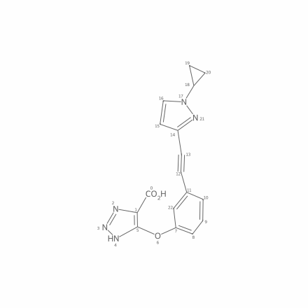 O=C(O)c1nn[nH]c1Oc1cccc(C#Cc2ccn(C3CC3)n2)c1